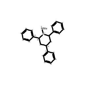 CNP1C(c2ccccc2)CC(c2ccccc2)CC1c1ccccc1